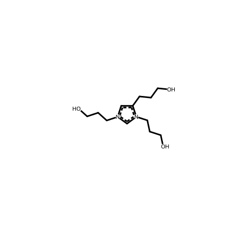 OCCCc1c[n+](CCCO)cn1CCCO